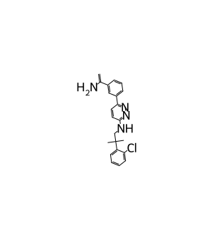 C=C(N)c1cccc(-c2ccc(NCC(C)(C)c3ccccc3Cl)nn2)c1